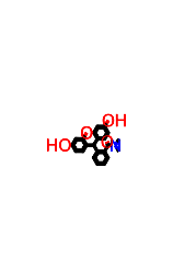 CN(C)C(=O)c1ccccc1C1c2ccc(O)cc2Oc2cc(O)ccc21